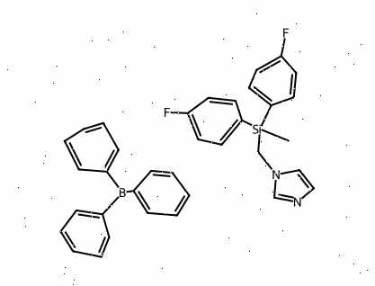 C[Si](Cn1ccnc1)(c1ccc(F)cc1)c1ccc(F)cc1.c1ccc(B(c2ccccc2)c2ccccc2)cc1